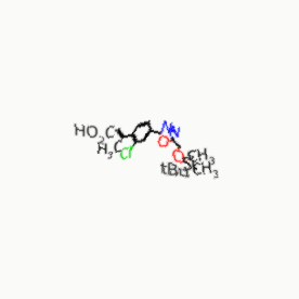 C/C(=C\C(=O)O)c1ccc(-c2nnc(CO[Si](C)(C)C(C)(C)C)o2)cc1Cl